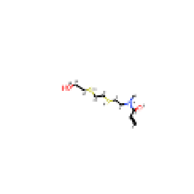 C=CC(=O)N(C)CCSCCSCCO